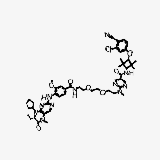 CC[C@@H]1C(=O)N(C)c2cnc(Nc3ccc(C(=O)NCCOCCOCCN(C)c4ncc(C(=O)N[C@H]5C(C)(C)[C@H](Oc6ccc(C#N)c(Cl)c6)C5(C)C)cn4)cc3OC)nc2N1C1CCCC1